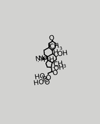 C[C@]12CCC(=O)C=C1CC[C@@H]1[C@@H]2[C@@H](O)C[C@@]2(C)[C@H]1CC[C@]2(O)C(=O)COP(=O)(O)O.[Na].[Na]